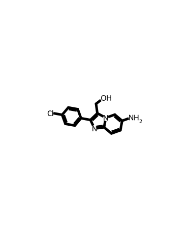 Nc1ccc2nc(-c3ccc(Cl)cc3)c(CO)n2c1